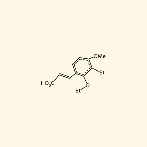 CCOc1c(C=CC(=O)O)ccc(OC)c1CC